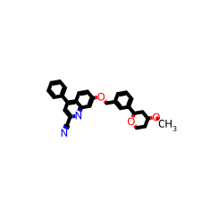 COC1CCOC(c2cccc(COc3ccc4c(-c5ccccc5)cc(C#N)nc4c3)c2)C1